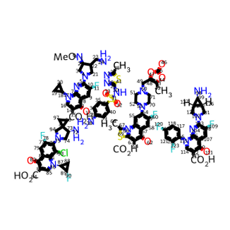 CO/N=C1\CN(c2nc3c(cc2F)c(=O)c(C(=O)O)cn3C2CC2)CC1CN.Cc1nnc(NS(=O)(=O)c2ccc(N)cc2)s1.Cc1oc(=O)oc1CN1CCN(c2cc3c(cc2F)c(=O)c(C(=O)O)c2n3C(C)S2)CC1.N[C@@H]1CN(c2c(F)cc3c(=O)c(C(=O)O)cn([C@@H]4C[C@@H]4F)c3c2Cl)CC12CC2.N[C@@H]1[C@H]2CN(c3nc4c(cc3F)c(=O)c(C(=O)O)cn4-c3ccc(F)cc3F)C[C@@H]12